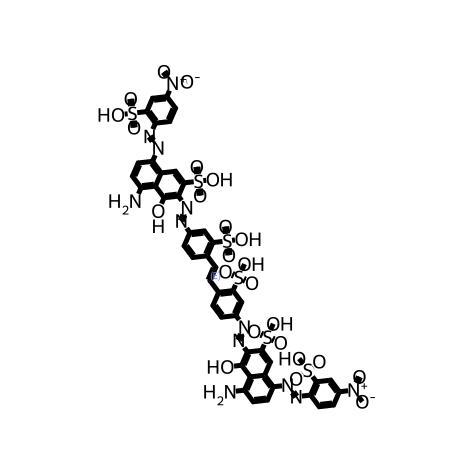 Nc1ccc(N=Nc2ccc([N+](=O)[O-])cc2S(=O)(=O)O)c2cc(S(=O)(=O)O)c(N=Nc3ccc(/C=C/c4ccc(N=Nc5c(S(=O)(=O)O)cc6c(N=Nc7ccc([N+](=O)[O-])cc7S(=O)(=O)O)ccc(N)c6c5O)cc4S(=O)(=O)O)c(S(=O)(=O)O)c3)c(O)c12